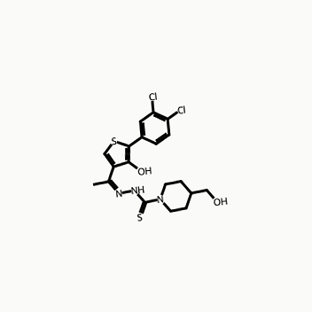 CC(=NNC(=S)N1CCC(CO)CC1)c1csc(-c2ccc(Cl)c(Cl)c2)c1O